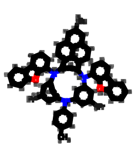 Cc1ccc(N2c3cc(C(C)C)cc(c3)N(c3cccc4c3oc3ccccc34)c3cc(c4ccc5cc(C(C)(C)C)cc6ccc3c4c65)N(c3cccc4c3oc3ccccc34)c3cc(C(C)C)cc2c3)cc1